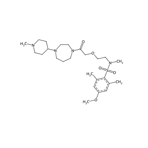 COc1cc(C)c(S(=O)(=O)N(C)CCOCC(=O)N2CCCN(C3CCN(C)CC3)CC2)c(C)c1